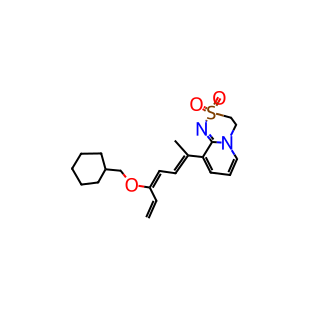 C=C/C(=C\C=C(/C)C1=CC=CN2CCS(=O)(=O)N=C12)OCC1CCCCC1